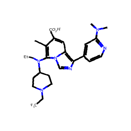 CCN(c1c(C)c(C(=O)O)cc2c(-c3ccnc(N(C)C)c3)ncn12)C1CCN(CC(F)(F)F)CC1